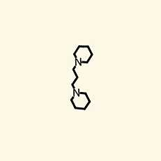 C1CCN(CCCN2CCCCC2)CC1